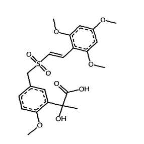 COc1cc(OC)c(/C=C/S(=O)(=O)Cc2ccc(OC)c(C(C)(O)C(=O)O)c2)c(OC)c1